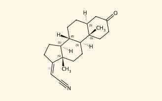 C[C@]12CCC(=O)C[C@@H]1CC[C@@H]1[C@@H]2CC[C@]2(C)/C(=C\C#N)CC[C@@H]12